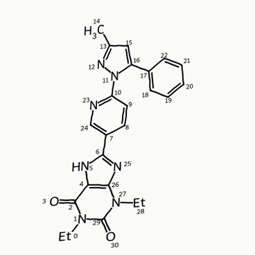 CCn1c(=O)c2[nH]c(-c3ccc(-n4nc(C)cc4-c4ccccc4)nc3)nc2n(CC)c1=O